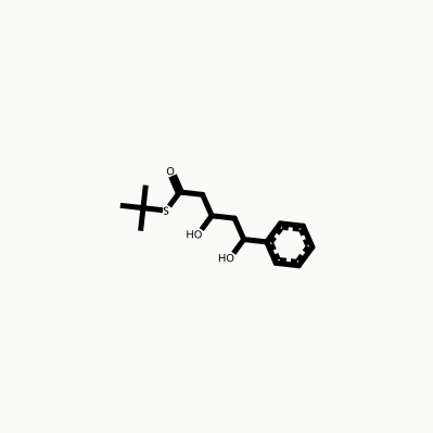 CC(C)(C)SC(=O)CC(O)CC(O)c1ccccc1